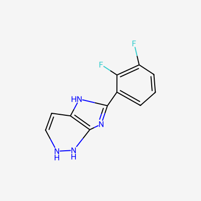 Fc1cccc(-c2nc3c([nH]2)C=CNN3)c1F